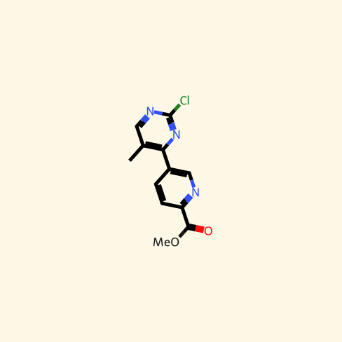 COC(=O)c1ccc(-c2nc(Cl)ncc2C)cn1